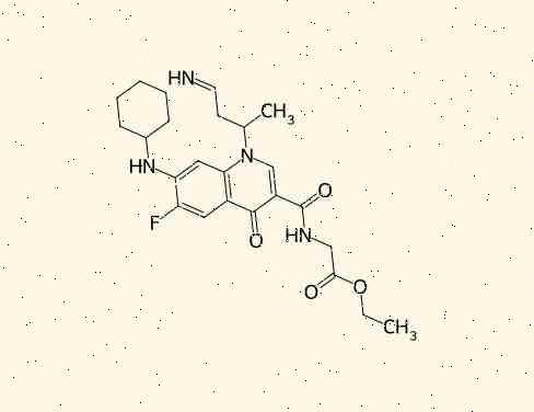 CCOC(=O)CNC(=O)c1cn(C(C)CC=N)c2cc(NC3CCCCC3)c(F)cc2c1=O